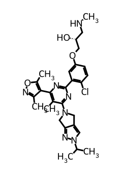 CNC[C@@H](O)COc1ccc(Cl)c(-c2nc(-c3c(C)noc3C)c(C)c(N3Cc4cn(C(C)C)nc4C3)n2)c1